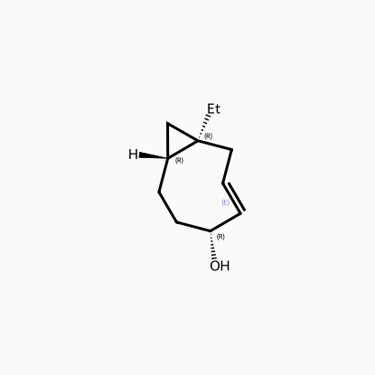 CC[C@]12C/C=C/[C@H](O)CC[C@@H]1C2